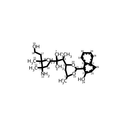 CC1CC(C(C)C(C)(C)CCC(C)(N)C(C)(C)CCO)OC(c2c(O)ccc3ccccc23)O1